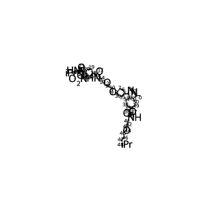 CC1=NN=C(c2ccc(OCCOCCNC(=O)c3ccc(S(=O)(=O)NC(C)C)c([N+](=O)[O-])c3)cc2)C2CCCC(OC(=O)NCCCOCCCC(C)C)CCC12